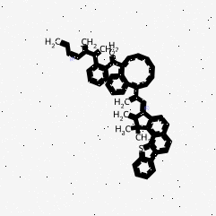 C=C/C=C\C(=C)C(=C)c1ccccc1C(=C)c1ccccccc(C(=C)/C=C2\C(=C)C(C)(C)c3c2ccc2ccc4c5ccccc5sc4c32)c2ccccc12